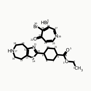 Br.CCOC(=O)C1CCC(c2nc3c(s2)CCNCC3)CC1.O=c1ccnccc1Br